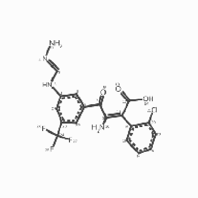 NN=CNc1cc(C(=O)C(N)=C(C(=O)O)c2ccccc2Cl)cc(C(F)(F)F)c1